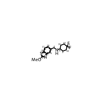 COc1nc2cc(CNC3CCC(F)(F)CC3)ccc2s1